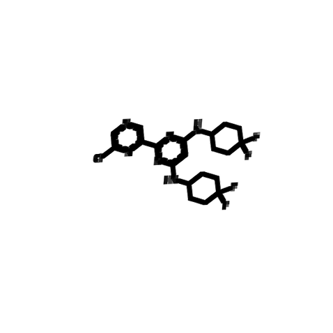 FC1(F)CCC(Nc2cc(NC3CCC(F)(F)CC3)nc(-c3cncc(Cl)n3)n2)CC1